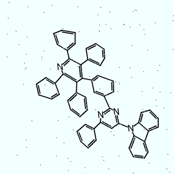 c1ccc(-c2cc(-n3c4ccccc4c4ccccc43)nc(-c3cccc(-c4c(-c5ccccc5)c(-c5ccccc5)nc(-c5ccccc5)c4-c4ccccc4)c3)n2)cc1